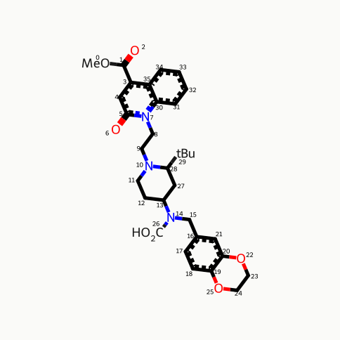 COC(=O)c1cc(=O)n(CCN2CCC(N(Cc3ccc4c(c3)OCCO4)C(=O)O)CC2C(C)(C)C)c2ccccc12